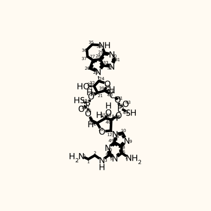 NCCNc1nc(N)c2ncn([C@@H]3O[C@@H]4COP(=O)(S)O[C@H]5[C@@H](O)[C@H](n6cc7c8c(ncnc86)NCCC7)O[C@@H]5COP(=O)(S)O[C@@H]3[C@@H]4O)c2n1